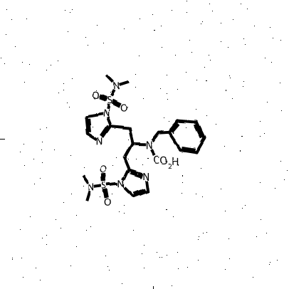 CN(C)S(=O)(=O)n1ccnc1CC(Cc1nccn1S(=O)(=O)N(C)C)N(Cc1ccccc1)C(=O)O